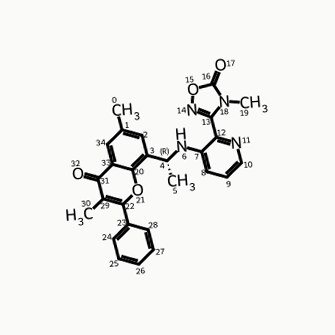 Cc1cc([C@@H](C)Nc2cccnc2-c2noc(=O)n2C)c2oc(-c3ccccc3)c(C)c(=O)c2c1